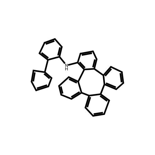 c1ccc(-c2ccccc2Nc2cccc3c2-c2ccccc2-c2ccccc2-c2ccccc2-3)cc1